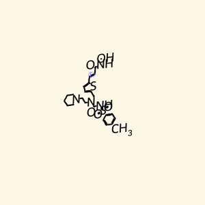 Cc1ccc(S(=O)(=O)NC(=O)N(CCN2CCCCC2)Cc2ccc(/C=C/C(=O)NO)s2)cc1